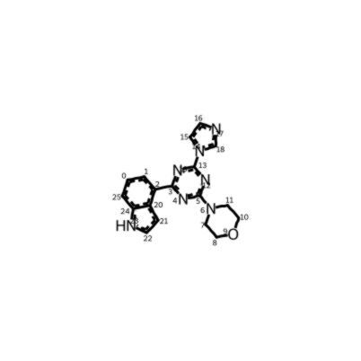 c1cc(-c2nc(N3CCOCC3)nc(-n3ccnc3)n2)c2cc[nH]c2c1